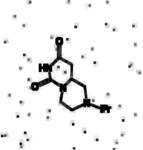 CC(C)N1CCN2C(=O)NC(=O)CC2C1